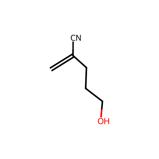 C=C(C#N)CCCO